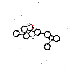 C1=CC(C2=CC3C(C=C2)OC2C=C(C4C=Cc5c6c(n(-c7ccccc7)c5C4)C=CCC6)C=CC2C32c3ccccc3OC3CC=CCC32)=CCC1